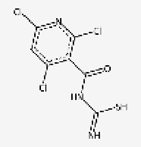 N=C(S)NC(=O)c1c(Cl)cc(Cl)nc1Cl